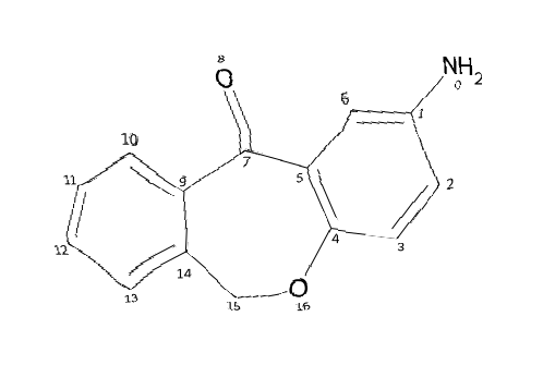 Nc1ccc2c(c1)C(=O)c1ccccc1CO2